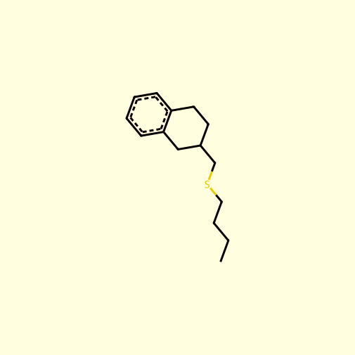 CCCCSCC1CCc2ccccc2C1